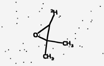 [2H]C1OC1(C)C